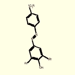 CC(C)c1cc(N=Nc2ccc(S(=O)(=O)O)cc2)cc(C(C)C)c1O